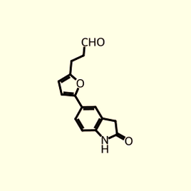 O=CCCc1ccc(-c2ccc3c(c2)CC(=O)N3)o1